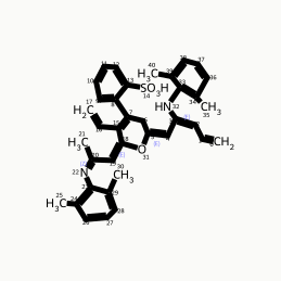 C=C/C=C(\C=C1/CC(c2ccccc2S(=O)(=O)O)=C(C=C)/C(=C\C(C)=N/c2c(C)cccc2C)O1)Nc1c(C)cccc1C